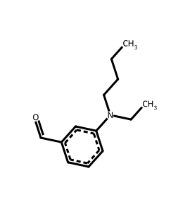 CCCCN(CC)c1cccc(C=O)c1